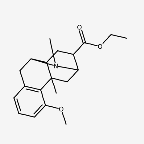 CCOC(=O)C1CC2C3Cc4cccc(OC)c4C2(C)CC1N3C